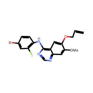 C=CCOc1cc2c(Nc3ccc(Br)cc3F)ncnc2cc1OC